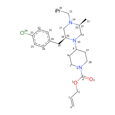 C=CCOC(=O)N1CCC(N2C[C@H](C)N(CC(C)C)C[C@@H]2Cc2ccc(Cl)cc2)CC1